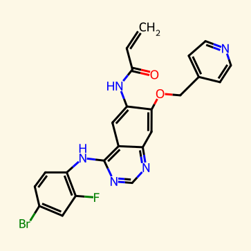 C=CC(=O)Nc1cc2c(Nc3ccc(Br)cc3F)ncnc2cc1OCc1ccncc1